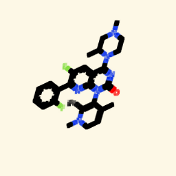 CC1=CCN(C)C(C(C)C)=C1n1c(=O)nc(N2CCN(C)CC2C)c2cc(F)c(-c3ccccc3F)nc21